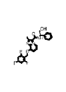 Cc1nc2c(OCc3c(F)cc(F)cc3F)cccn2c1C(=O)N[C@@H](CO)c1ccccc1